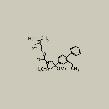 C=Cc1cc([C@]2(OC)C[C@@H](C)N(C(=O)OCC[Si](C)(C)C)C2)ccc1-c1ccccc1